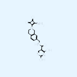 Nc1c(N2CCc3ccc(CNC(=O)c4cnc(O)nc4O)cc3C2)c(=O)c1=O